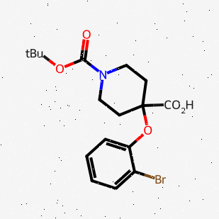 CC(C)(C)OC(=O)N1CCC(Oc2ccccc2Br)(C(=O)O)CC1